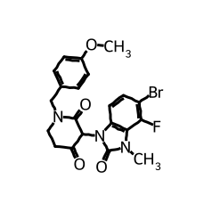 COc1ccc(CN2CCC(=O)C(n3c(=O)n(C)c4c(F)c(Br)ccc43)C2=O)cc1